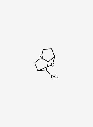 CC(C)(C)C1C2CN3CCC(O2)C13